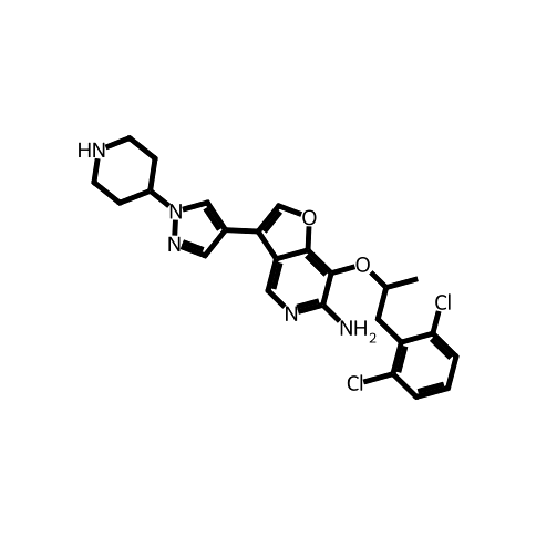 CC(Cc1c(Cl)cccc1Cl)Oc1c(N)ncc2c(-c3cnn(C4CCNCC4)c3)coc12